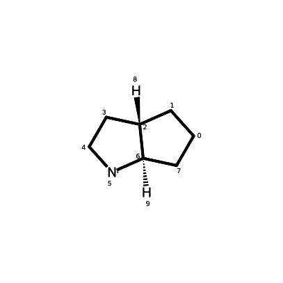 C1C[C@H]2CC[N][C@@H]2C1